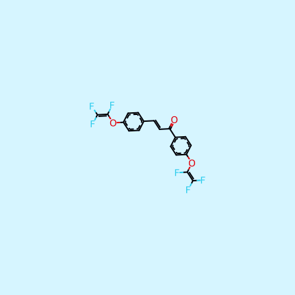 O=C(/C=C/c1ccc(OC(F)=C(F)F)cc1)c1ccc(OC(F)=C(F)F)cc1